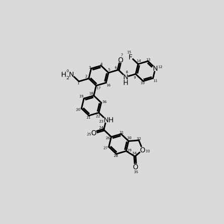 NCc1ccc(C(=O)Nc2ccncc2F)cc1-c1cccc(NC(=O)c2ccc3c(c2)COC3=O)c1